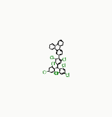 Clc1cc(Cl)c(C(c2cc(Cl)c(-c3ccc4c5ccccc5c5ccccc5c4c3)c(Cl)c2)c2c(Cl)cc(Cl)cc2Cl)c(Cl)c1